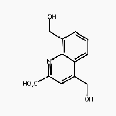 O=C(O)c1cc(CO)c2cccc(CO)c2n1